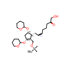 CC(C)(C)[Si](C)(C)OC[C@@H]1[C@@H](C/C=C\CCCC(=O)CO)[C@@H](OC2CCCCO2)C[C@H]1OC1CCCCO1